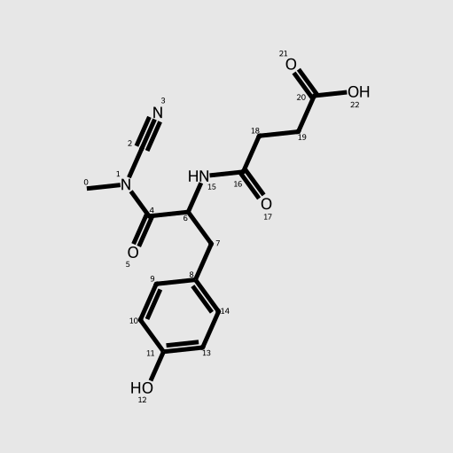 CN(C#N)C(=O)C(Cc1ccc(O)cc1)NC(=O)CCC(=O)O